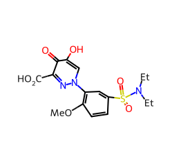 CCN(CC)S(=O)(=O)c1ccc(OC)c(-n2cc(O)c(=O)c(C(=O)O)n2)c1